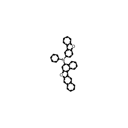 c1ccc(N(c2ccc3oc4ccccc4c3c2)c2cc3oc4cc5ccccc5cc4c3c3ccccc23)cc1